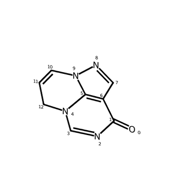 O=c1ncn2c3c1cnn3C=CC2